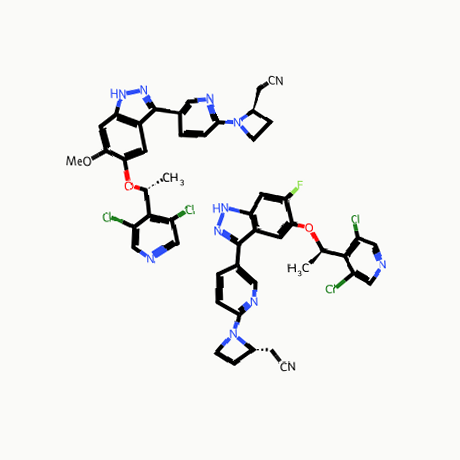 COc1cc2[nH]nc(-c3ccc(N4CC[C@@H]4CC#N)nc3)c2cc1O[C@H](C)c1c(Cl)cncc1Cl.C[C@@H](Oc1cc2c(-c3ccc(N4CC[C@H]4CC#N)nc3)n[nH]c2cc1F)c1c(Cl)cncc1Cl